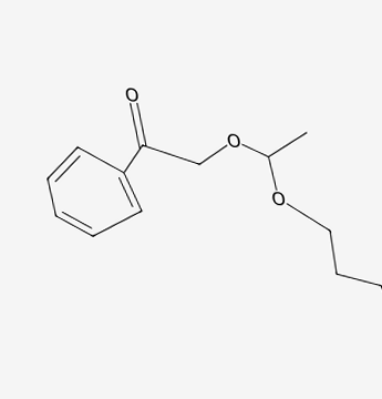 CCCCOC(C)OCC(=O)c1ccccc1